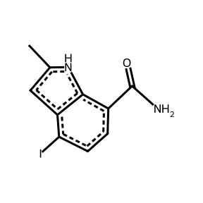 Cc1cc2c(I)ccc(C(N)=O)c2[nH]1